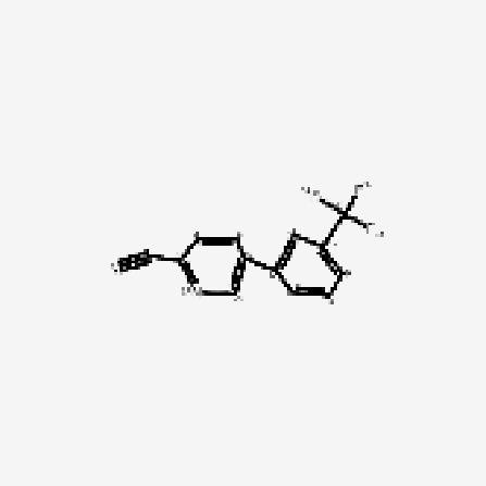 N#Cc1ccc(-c2cccc(C(F)(F)F)c2)cn1